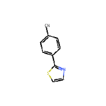 N#Cc1ccc(-c2n[c]cs2)cc1